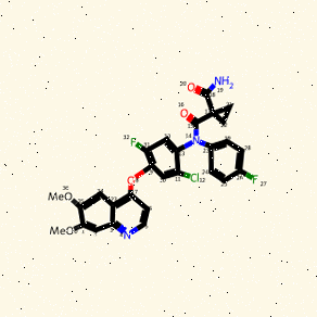 COc1cc2nccc(Oc3cc(Cl)c(N(C(=O)C4(C(N)=O)CC4)c4ccc(F)cc4)cc3F)c2cc1OC